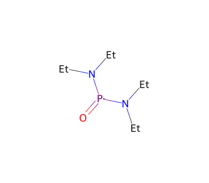 CCN(CC)[P](=O)N(CC)CC